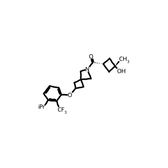 CC(C)c1cccc(OC2CC3(C2)CN(C(=O)[C@H]2C[C@@](C)(O)C2)C3)c1C(F)(F)F